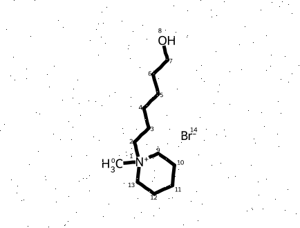 C[N+]1(CCCCCCO)CCCCC1.[Br-]